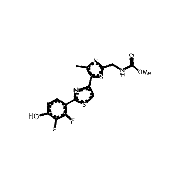 COC(=O)NCc1nc(C)c(-c2csc(-c3ccc(O)c(F)c3F)n2)s1